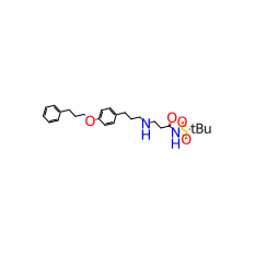 CC(C)(C)S(=O)(=O)NC(=O)CCNCCCc1ccc(OCCCc2ccccc2)cc1